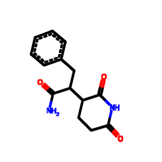 NC(=O)C(Cc1ccccc1)C1CCC(=O)NC1=O